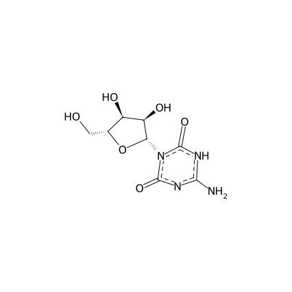 Nc1nc(=O)n([C@@H]2O[C@H](CO)[C@@H](O)[C@H]2O)c(=O)[nH]1